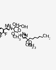 CCCCCCCC(CC)(OC)c1cn(C[C@H]2O[C@H](CO)[C@H](O)[C@H](n3cc(-c4ccc(Cl)c(F)c4F)nn3)[C@H]2OC)nn1